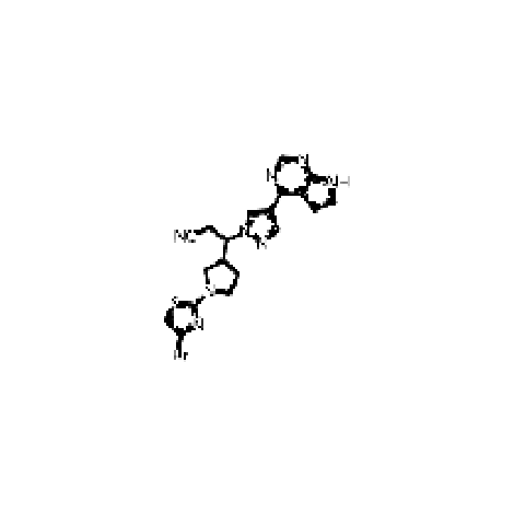 N#CCC(C1CCN(c2nc(Br)cs2)C1)n1cc(-c2ncnc3[nH]ccc23)cn1